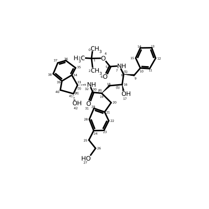 CC(C)(C)OC(=O)N[C@@H](Cc1ccccc1)[C@@H](O)C[C@@H](Cc1ccc(CCO)cc1)C(=O)N[C@H]1c2ccccc2C[C@H]1O